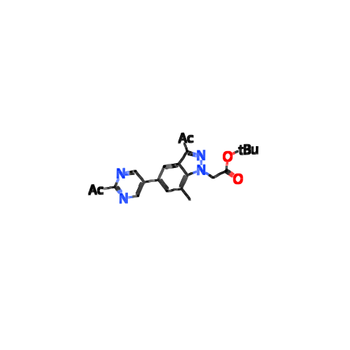 CC(=O)c1ncc(-c2cc(C)c3c(c2)c(C(C)=O)nn3CC(=O)OC(C)(C)C)cn1